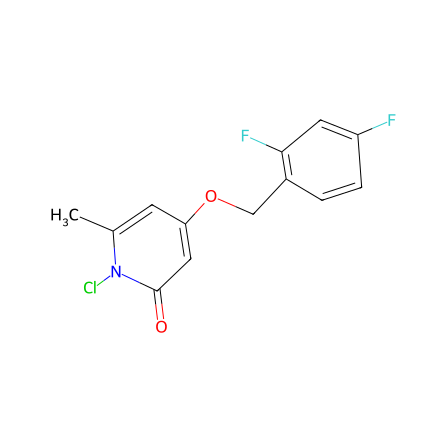 Cc1cc(OCc2ccc(F)cc2F)cc(=O)n1Cl